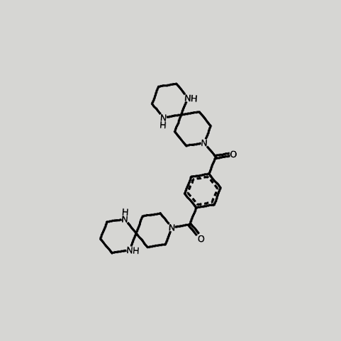 O=C(c1ccc(C(=O)N2CCC3(CC2)NCCCN3)cc1)N1CCC2(CC1)NCCCN2